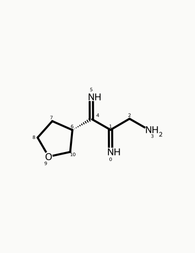 N=C(CN)C(=N)[C@H]1CCOC1